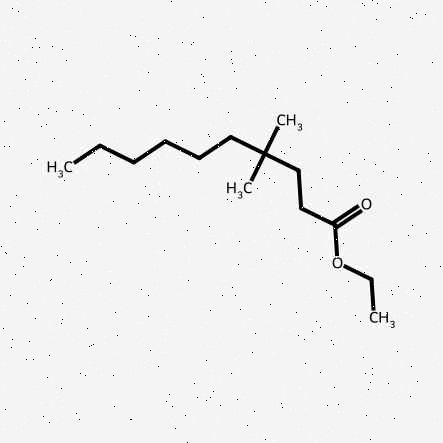 CCCCCCC(C)(C)CCC(=O)OCC